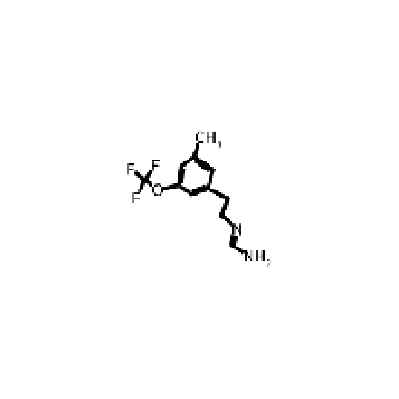 Cc1cc(CC/N=C/N)cc(OC(F)(F)F)c1